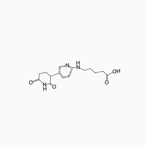 O=C(O)CCCCNc1ccc(C2CCC(=O)NC2=O)cn1